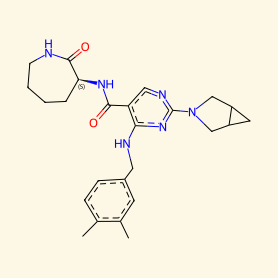 Cc1ccc(CNc2nc(N3CC4CC4C3)ncc2C(=O)N[C@H]2CCCCNC2=O)cc1C